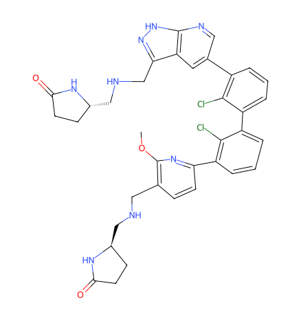 COc1nc(-c2cccc(-c3cccc(-c4cnc5[nH]nc(CNC[C@@H]6CCC(=O)N6)c5c4)c3Cl)c2Cl)ccc1CNC[C@H]1CCC(=O)N1